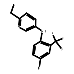 C[CH]c1ccc(Nc2ccc(F)cc2C(F)(F)F)cn1